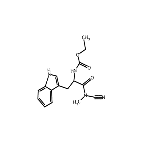 CCOC(=O)NC(Cc1c[nH]c2ccccc12)C(=O)N(C)C#N